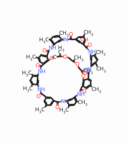 Cc1cc2cc(c1)C(=O)Nc1cc(c(C)cc1C)NC(=O)c1cc(C)cc3c1OC(C)COC(C)COC(C)COc1c(cc(C)cc1C(=O)Nc1cc(c(C)cc1C)NC(=O)c1cc(C)cc(c1O)C(=O)Nc1cc(c(C)cc1C)NC3=O)C(=O)Nc1cc(c(C)cc1C)NC2=O